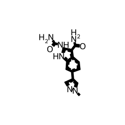 Cn1cc(-c2ccc3c(C(N)=O)c(NC(N)=O)[nH]c3c2)cn1